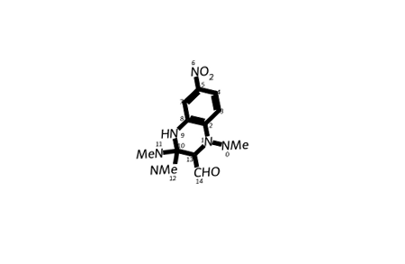 CNN1c2ccc([N+](=O)[O-])cc2NC(NC)(NC)C1C=O